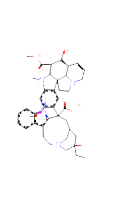 CCC1(O)CC2C[N@](CCc3c([nH]c4ccccc34)C(C(=O)OC)(c3cc4c(cc3OC)N(C)C3C45CCN4CC=C[C@](CC)(C45)[C@@H](O)[C@]3(O)C(=O)OC)C2)C1